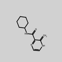 C=C1NC=CN=C1C(=O)NC1CCCCC1